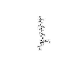 CCCOC(C)(CC/C=C(\C)CC/C=C(\C)CCC=C(C)C)OCCC